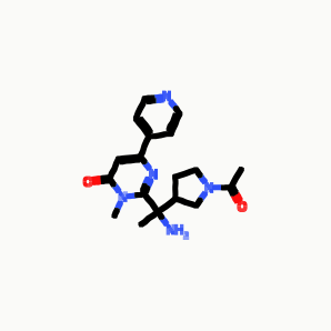 CC(=O)N1CCC(C(C)(N)c2nc(-c3ccncc3)cc(=O)n2C)C1